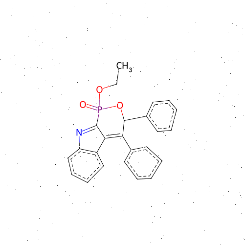 CCOP1(=O)OC(c2ccccc2)C(c2ccccc2)=C2C1=Nc1ccccc12